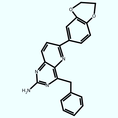 Nc1nc(Cc2ccccc2)c2nc(-c3ccc4c(c3)OCCO4)ccc2n1